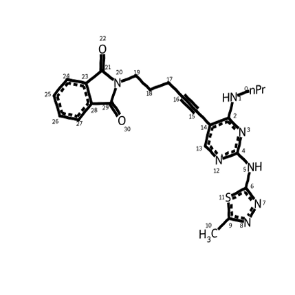 CCCNc1nc(Nc2nnc(C)s2)ncc1C#CCCCN1C(=O)c2ccccc2C1=O